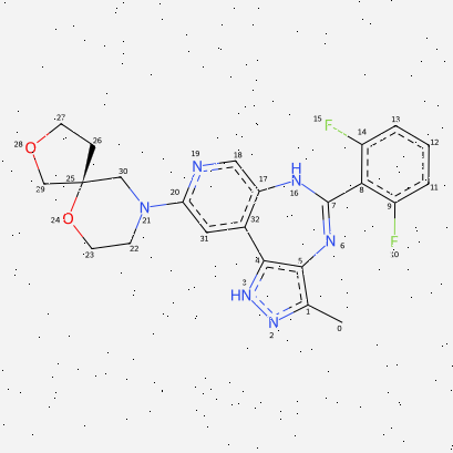 Cc1n[nH]c2c1N=C(c1c(F)cccc1F)Nc1cnc(N3CCO[C@@]4(CCOC4)C3)cc1-2